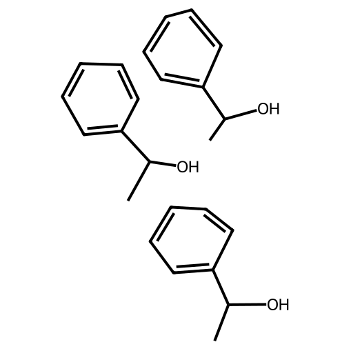 CC(O)c1ccccc1.CC(O)c1ccccc1.CC(O)c1ccccc1